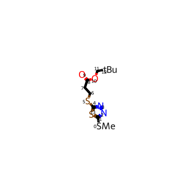 CSc1nnc(SCCC(=O)OCC(C)(C)C)s1